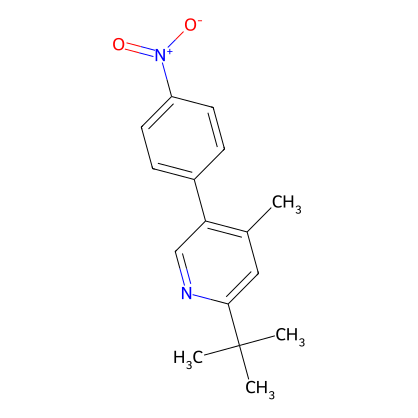 Cc1cc(C(C)(C)C)ncc1-c1ccc([N+](=O)[O-])cc1